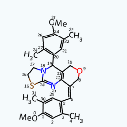 COc1cc(C)c(/C=C2/COCC3=C2N=C2SCCN2C3c2cc(C)c(OC)cc2C)cc1C